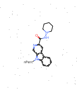 CCCCCn1c2ccccc2c2cc(C(=O)NN3CCCCC3)ncc21